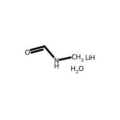 CNC=O.O.[LiH]